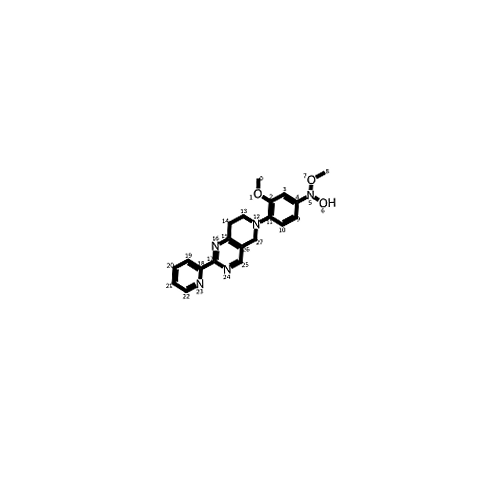 COc1cc(N(O)OC)ccc1N1CCc2nc(-c3ccccn3)ncc2C1